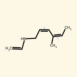 C=CNC/C=C\C(C)=C/C